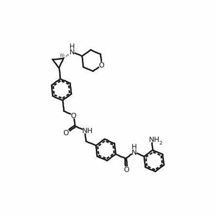 Nc1ccccc1NC(=O)c1ccc(CNC(=O)OCc2ccc(C3C[C@@H]3NC3CCOCC3)cc2)cc1